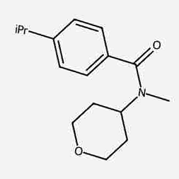 CC(C)c1ccc(C(=O)N(C)C2CCOCC2)cc1